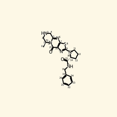 C[C@H]1CNCc2nc3sc(N4CCC[C@@H]4C(=O)NCc4ccccc4)nc3c(=O)n21